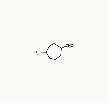 CC1CCCC(C=O)CC1